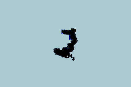 Cc1ccc(-c2nc(-c3ccc(Cc4ccc5c(c4)-c4cccc6cc(-c7ccc(-c8cccc(-c9ccc(-c%10ccc(-c%11nc(-c%12ccccc%12)nc(-c%12ccc(-c%13ccc(C#N)cc%13)cc%12)n%11)cc%10)c(C#N)c9)c8)cc7)cc-5c46)cc3)nc(-c3ccccc3-c3ccc(-c4ccccc4-c4ccc(-c5ccc6c7c(cccc57)-c5ccccc5-6)cc4)cc3C#N)n2)cc1